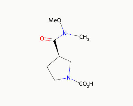 CON(C)C(=O)[C@@H]1CCN(C(=O)O)C1